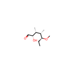 CC[C@H](OC)[C@@H](C)[C@@H](C)[C@H](O)C=O